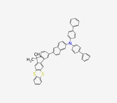 CC1(C)c2ccc(-c3ccc4cc(N(c5ccc(-c6ccccc6)cc5)c5ccc(-c6ccccc6)cc5)ccc4c3)cc2-c2cc3c(cc21)Sc1ccccc1S3